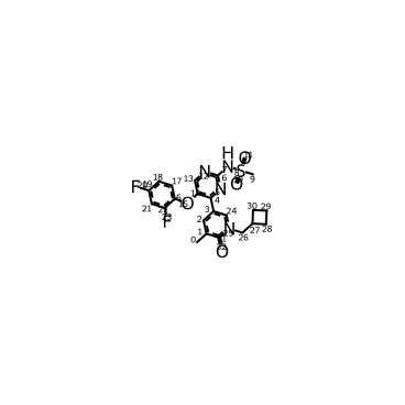 Cc1cc(-c2nc(NS(C)(=O)=O)ncc2Oc2ccc(F)cc2F)cn(CC2CCC2)c1=O